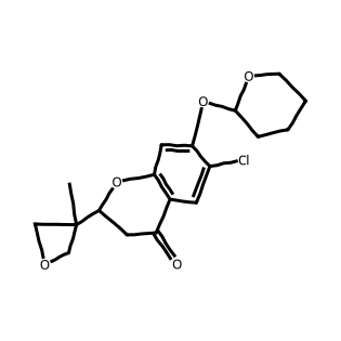 CC1(C2CC(=O)c3cc(Cl)c(OC4CCCCO4)cc3O2)COC1